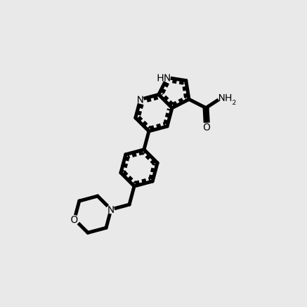 NC(=O)c1c[nH]c2ncc(-c3ccc(CN4CCOCC4)cc3)cc12